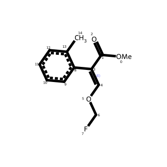 COC(=O)/C(=C/OCF)c1ccccc1C